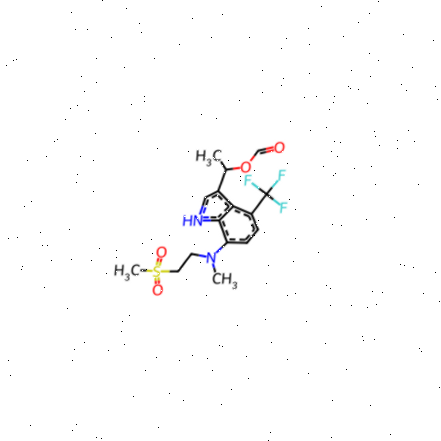 CC(OC=O)c1c[nH]c2c(N(C)CCS(C)(=O)=O)ccc(C(F)(F)F)c12